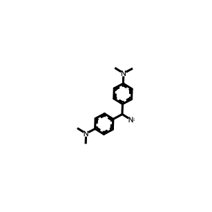 CN(C)c1ccc(C([N])c2ccc(N(C)C)cc2)cc1